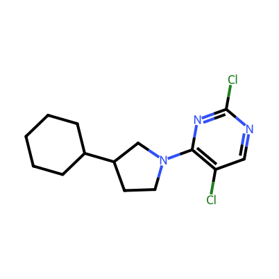 Clc1ncc(Cl)c(N2CCC(C3CCCCC3)C2)n1